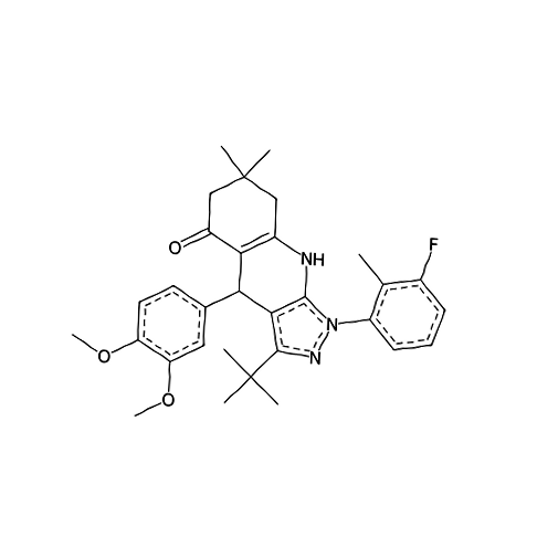 COc1ccc(C2C3=C(CC(C)(C)CC3=O)Nc3c2c(C(C)(C)C)nn3-c2cccc(F)c2C)cc1OC